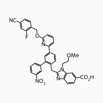 COCCn1c(Cc2ccc(-c3cccc(OCc4ccc(C#N)cc4F)n3)cc2-c2cccc([N+](=O)[O-])c2)nc2ccc(C(=O)O)cc21